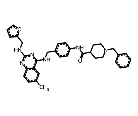 Cc1ccc2nc(NCc3ccco3)nc(NCc3ccc(NC(=O)C4CCN(Cc5ccccc5)CC4)cc3)c2c1